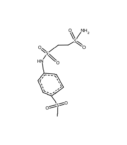 CS(=O)(=O)c1ccc(NS(=O)(=O)CCS(N)(=O)=O)cc1